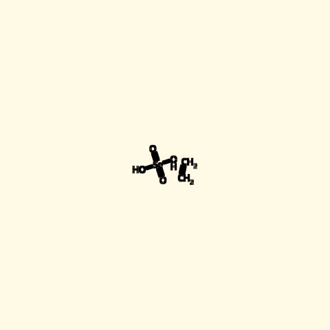 C=C.O=[Se](=O)(O)O